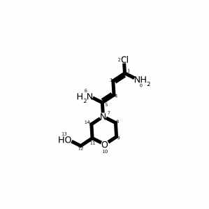 N/C(Cl)=C\C=C(/N)N1CCOC(CO)C1